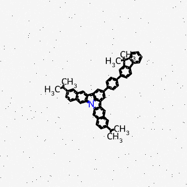 CC(C)c1ccc2cc3c(cc2c1)c1cc(-c2ccc(-c4ccc5c(c4)C(C)(C)c4ccccc4-5)cc2)cc2c4cc5cc(C(C)C)ccc5cc4n3c12